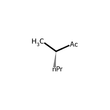 CCC[C@H](C)C(C)=O